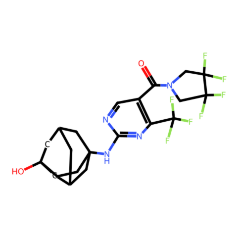 O=C(c1cnc(NC23CCC4(O)CC(CC(C4)C2)C3)nc1C(F)(F)F)N1CC(F)(F)C(F)(F)C1